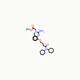 CC(C)OC(=O)CN1Cc2cccc(OCCCC(=O)N(C3CCCCC3)C3CCCCC3)c2N=C1N